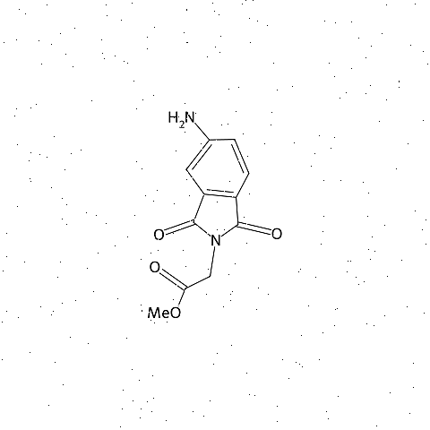 COC(=O)CN1C(=O)c2ccc(N)cc2C1=O